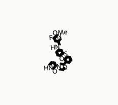 COc1ncc(CNc2ccc3c(c2)Sc2cccc(C4CN(c5ccc[nH]c5=O)CCO4)c2O3)cc1F